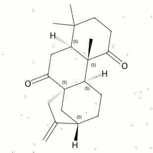 C=C1C[C@@]23C[C@@H]1CC[C@@H]2[C@@]1(C)C(=O)CCC(C)(C)[C@@H]1CC3=O